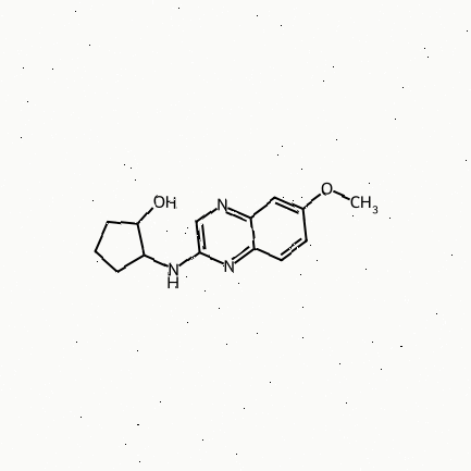 COc1ccc2nc(NC3CCCC3O)cnc2c1